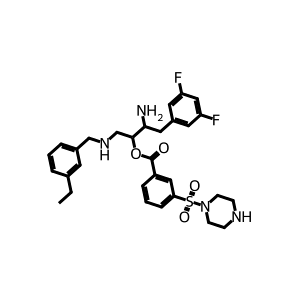 CCc1cccc(CNCC(OC(=O)c2cccc(S(=O)(=O)N3CCNCC3)c2)C(N)Cc2cc(F)cc(F)c2)c1